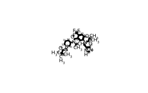 CC(C)N(C(=O)c1cc2c(cc1C(F)(F)F)OC(C)(C)C(=O)N2Cc1cnc[nH]1)[C@@H]1CCCN(OC(=O)C(C)(C)C)C1